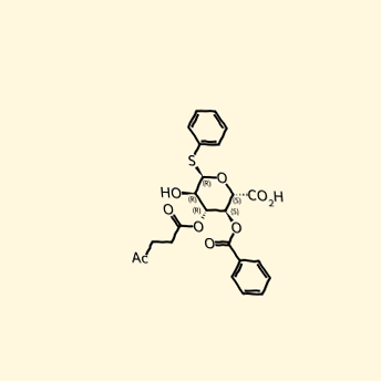 CC(=O)CCC(=O)O[C@@H]1[C@@H](O)[C@@H](Sc2ccccc2)O[C@H](C(=O)O)[C@H]1OC(=O)c1ccccc1